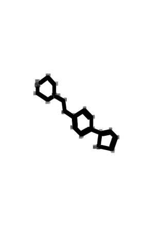 [c]1ccc(-c2ccc(CCN3CCOCC3)cc2)s1